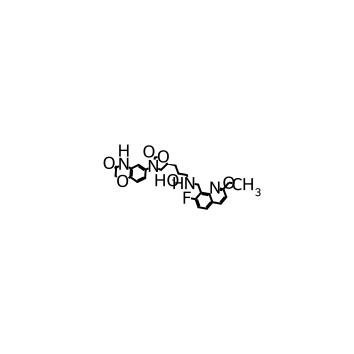 COc1ccc2ccc(F)c(CNC[C@H](O)C[C@H]3CN(c4ccc5c(c4)NC(=O)CO5)C(=O)O3)c2n1